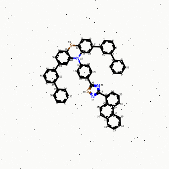 c1ccc(-c2cccc(-c3ccc4c(c3)N(c3ccc(-c5nc(-c6cccc7c6ccc6ccccc67)ns5)cc3)c3cc(-c5cccc(-c6ccccc6)c5)ccc3S4)c2)cc1